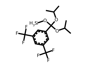 CC(C)OC(O[SiH3])(OC(C)C)c1cc(C(F)(F)F)cc(C(F)(F)F)c1